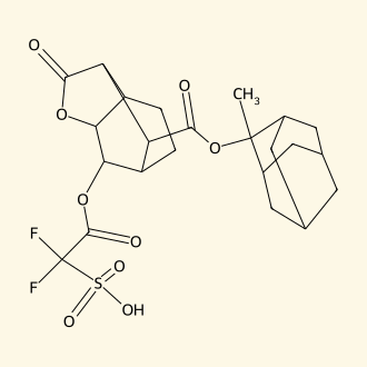 CC1(OC(=O)C2C3CCC4C(OC(=O)C42)C3OC(=O)C(F)(F)S(=O)(=O)O)C2CC3CC(C2)CC1C3